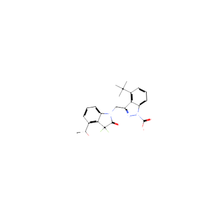 C[C@H](O)c1cccc2c1C(F)(F)C(=O)N2Cc1nn(C(=O)O)c2cccc(C(C)(C)C)c12